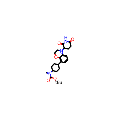 CN(C(=O)OC(C)(C)C)C1CCC(c2cccc3c2OCCN3C2CCC(=O)NC2=O)CC1